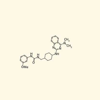 COc1cccc(NC(=O)NCC2CCC(Nc3nc(N(C)C)c4ccccc4n3)CC2)c1